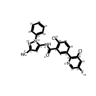 N#Cc1cc(NC(=O)c2cc(-c3ncc(F)cc3Cl)ccc2Cl)n(-c2ccccc2)n1